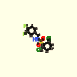 O=S(=O)(NCc1ccc(F)c(F)c1)c1c(Cl)cccc1Cl